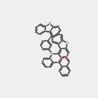 c1cc(-c2cccc3sc4ccccc4c23)cc(N(c2ccccc2-c2cccc3ccccc23)c2cccc3oc4ccccc4c23)c1